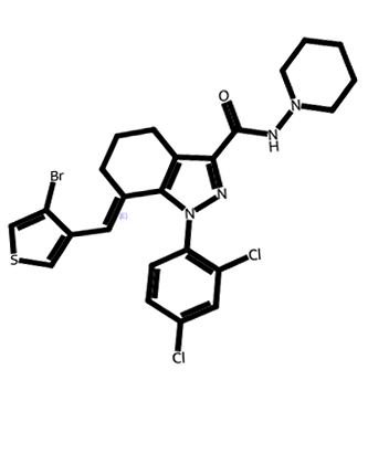 O=C(NN1CCCCC1)c1nn(-c2ccc(Cl)cc2Cl)c2c1CCC/C2=C\c1cscc1Br